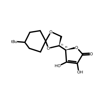 CC(C)(C)C1CCC2(CC1)OC[C@@H]([C@H]1OC(=O)C(O)=C1O)O2